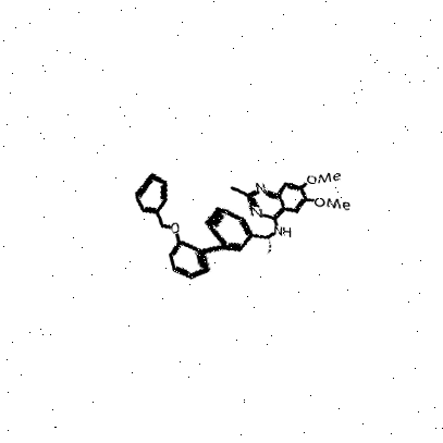 COc1cc2nc(C)nc(N[C@H](C)c3cccc(-c4ccccc4OCc4ccccc4)c3)c2cc1OC